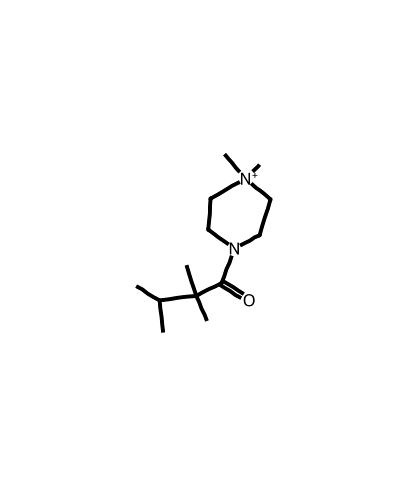 CC(C)C(C)(C)C(=O)N1CC[N+](C)(C)CC1